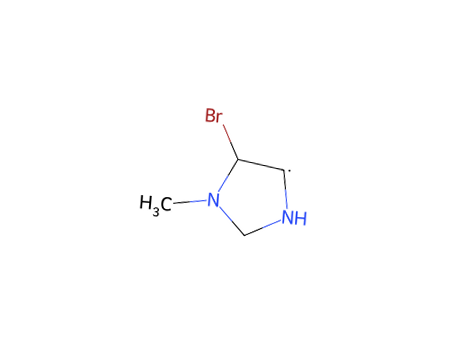 CN1CN[CH]C1Br